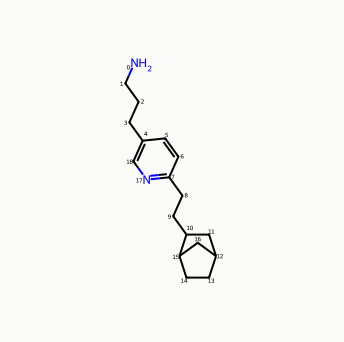 NCCCc1ccc(CCC2CC3CCC2C3)nc1